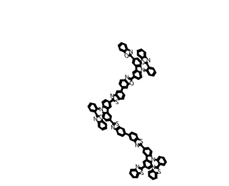 c1ccc(-n2c3ccc(-c4nc5ccccc5o4)cc3c3cc(-c4nc5ccc(-c6ccc7sc(-c8ccc9c(c8)c8cc(-c%10nc%11ccc(-c%12ccc%13sc(-c%14ccc%15c(c%14)c%14cc(-c%16nc%17ccccc%17s%16)ccc%14n%15-c%14ccccc%14-c%14nc%15ccccc%15s%14)nc%13c%12)cc%11s%10)ccc8n9-c8ccccc8-c8nc9ccccc9o8)nc7c6)cc5o4)ccc32)c(-c2nc3ccccc3o2)c1